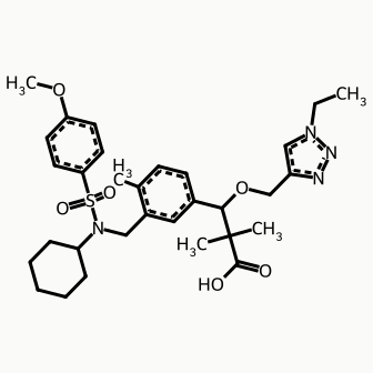 CCn1cc(COC(c2ccc(C)c(CN(C3CCCCC3)S(=O)(=O)c3ccc(OC)cc3)c2)C(C)(C)C(=O)O)nn1